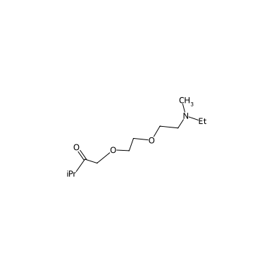 CCN(C)CCOCCOCC(=O)C(C)C